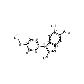 CCc1nc2cc(C(F)(F)F)c(Cl)cc2n1-c1ccc(CC#N)nc1